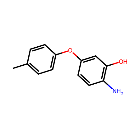 Cc1ccc(Oc2ccc(N)c(O)c2)cc1